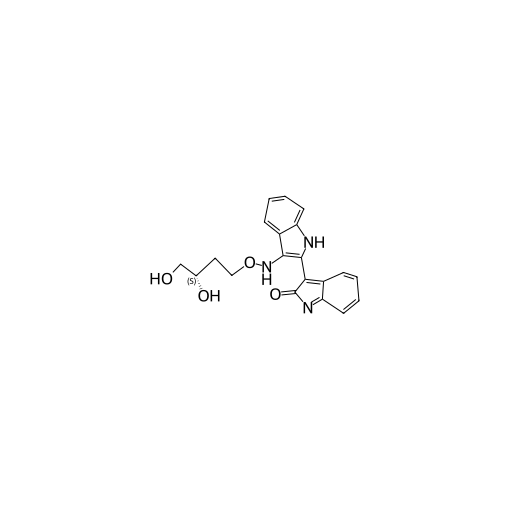 O=C1N=c2ccccc2=C1c1[nH]c2ccccc2c1NOCC[C@H](O)CO